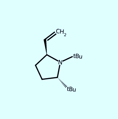 C=C[C@@H]1CC[C@@H](C(C)(C)C)N1C(C)(C)C